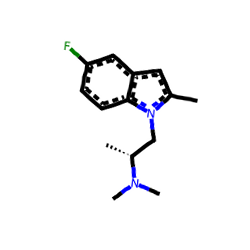 Cc1cc2cc(F)ccc2n1C[C@@H](C)N(C)C